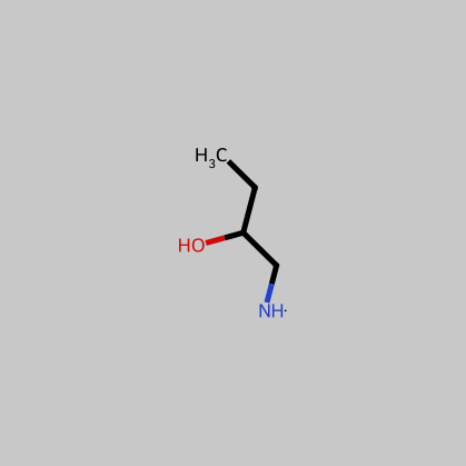 CCC(O)C[NH]